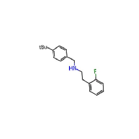 CC(C)(C)c1ccc(CNCCc2ccccc2F)cc1